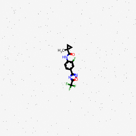 CC1(C(=O)Nc2ccc(-c3noc(C(F)(F)F)n3)cc2F)CC1